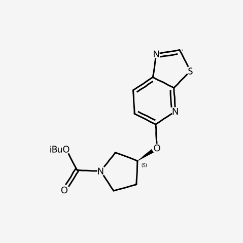 CC(C)COC(=O)N1CC[C@H](Oc2ccc3n[c]sc3n2)C1